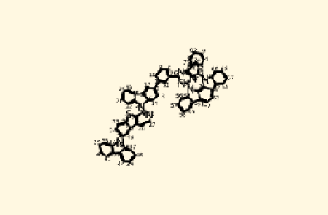 c1ccc(-c2nc(-c3cccc(-c4ccc5c(c4)c4ccccc4n5-c4nccc5c4sc4ccc(-n6c7ccccc7c7ccccc76)cc45)c3)nc(-n3c4ccccc4c4ccc5c6ccccc6n(-c6ccccc6)c5c43)n2)cc1